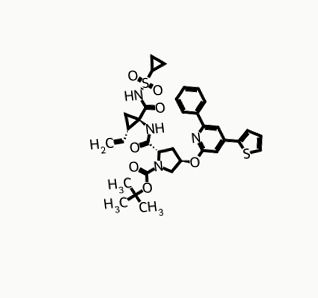 C=C[C@@H]1C[C@]1(NC(=O)[C@@H]1C[C@@H](Oc2cc(-c3cccs3)cc(-c3ccccc3)n2)CN1C(=O)OC(C)(C)C)C(=O)NS(=O)(=O)C1CC1